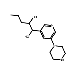 CCCC(O)C(O)c1cncc(N2CCNCC2)c1